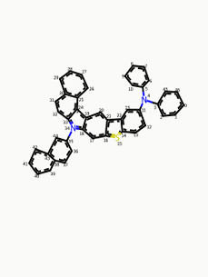 c1ccc(N(c2ccccc2)c2ccc3sc4cc5c(cc4c3c2)c2c3ccccc3ccc2n5-c2ccc3ccccc3c2)cc1